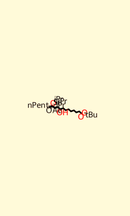 CCCCC[C@H](OC(C)=O)[C@@H](C=C[C@@H](O)CCCCCCCC(=O)OC(C)(C)C)O[Si](C(C)C)(C(C)C)C(C)C